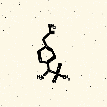 CN(c1ccc(CNN)cc1)S(C)(=O)=O